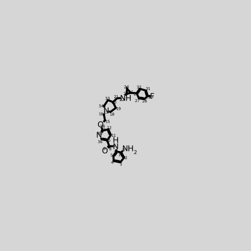 Nc1ccccc1NC(=O)c1ccc(OCCN2CCC(CNC3CC3c3ccc(F)cc3)CC2)nc1